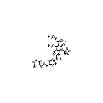 C=C(OCC)c1c(C)c2cnc(Nc3ccc(CCOC4CCCCO4)cn3)nc2n(C2CCCC2)c1=O